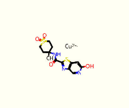 CC1(NC(=O)c2nc3cnc(O)cc3s2)CCS(=O)(=O)CC1.[Cu+2]